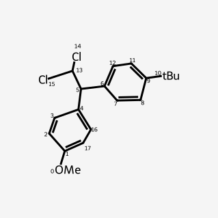 COc1ccc(C(c2ccc(C(C)(C)C)cc2)C(Cl)Cl)cc1